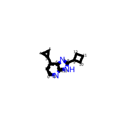 c1cc(C2CC2)c2nc(C3CCC3)[nH]c2n1